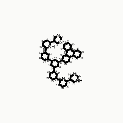 C1=CC(c2cncnc2)NC(c2cccc(-c3cc(-c4cccc(-c5cccc(C6=CNCN=C6)n5)c4)cc(-c4ccc5c6ccccc6c6ccccc6c5c4)c3)c2)=C1